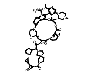 CO[C@@H](C)c1ncc(N2CCN(C)CC2)cc1-c1c2c3cc(ccc3n1CC(F)(F)F)N1CCO[C@@H](C[C@H](NC(=O)C(C3CCCC3)N3CC[C@]4(CCN(C(=O)[C@@H]5NC5C5CC5)C4)C3)C(=O)N3CCC[C@H](N3)C(=O)OCC(C)(C)C2)C1